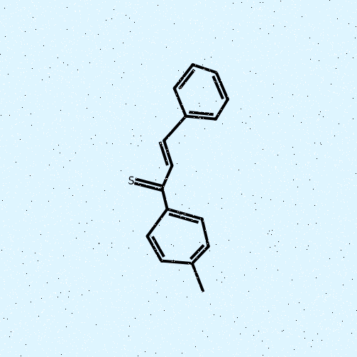 Cc1ccc(C(=S)C=Cc2ccccc2)cc1